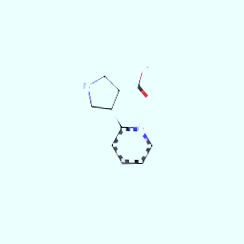 O=C(O)[C@H]1CNC[C@@H]1c1ccccn1